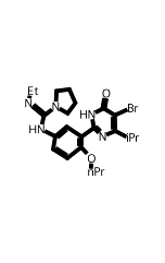 CCCOc1ccc(N/C(=N/CC)N2CCCC2)cc1-c1nc(C(C)C)c(Br)c(=O)[nH]1